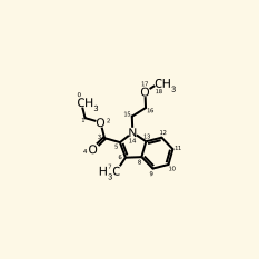 CCOC(=O)c1c(C)c2ccccc2n1CCOC